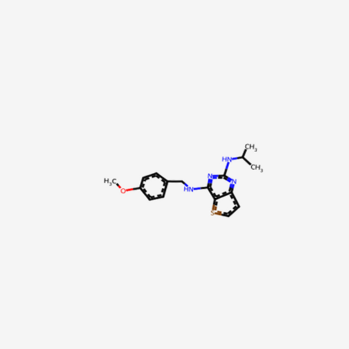 COc1ccc(CNc2nc(NC(C)C)nc3ccsc23)cc1